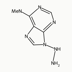 CNc1ncnc2c1ncn2NN